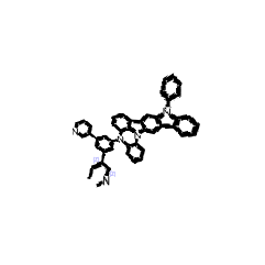 C/C=C(\C=N/C)c1cc(-c2cccnc2)cc(N2c3ccccc3-n3c4cc5c6ccccc6n(-c6ccccc6)c5cc4c4cccc2c43)c1